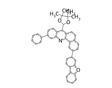 CC1(C)OC(c2c3ccc(-c4ccccc4)cc3nc3c2ccc2ccc(-c4ccc5c(c4)oc4ccccc45)cc23)OC1(C)C